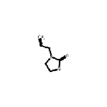 C=CCN1CC[N]C1=O